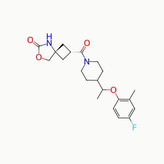 Cc1cc(F)ccc1OC(C)C1CCN(C(=O)[C@H]2C[C@]3(COC(=O)N3)C2)CC1